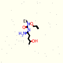 C=CCON(CC)C(=O)N=C(N)CCC(C)O